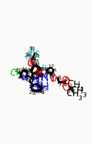 CC(C)(C)OC(=O)CCO[C@@H]1CCC[C@@H]1NC(=O)N[C@@](Cc1ccccc1)(c1cc(F)cc(OC(F)(F)C(F)F)c1)c1ccc(Cl)cn1